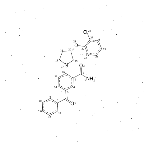 NC(=O)c1cc(C(=O)c2ccccc2)ccc1N1CC[C@H](Oc2ncccc2Cl)C1